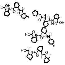 O=C(Cc1ccccc1)Nc1ccccc1C(=O)Nc1ccccc1C(=O)O.O=C(Nc1ccccc1C(=O)Nc1ccccc1C(=O)O)c1ccc(F)cc1.O=C(Nc1ccccc1C(=O)Nc1ccccc1C(=O)O)c1cccc(F)c1.O=C(Nc1ccccc1C(=O)Nc1ccccc1C(=O)O)c1ccccc1F